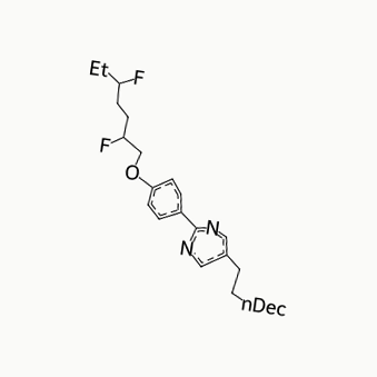 CCCCCCCCCCCCc1cnc(-c2ccc(OCC(F)CCC(F)CC)cc2)nc1